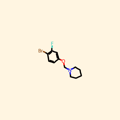 Fc1cc(OCN2CCCCC2)ccc1Br